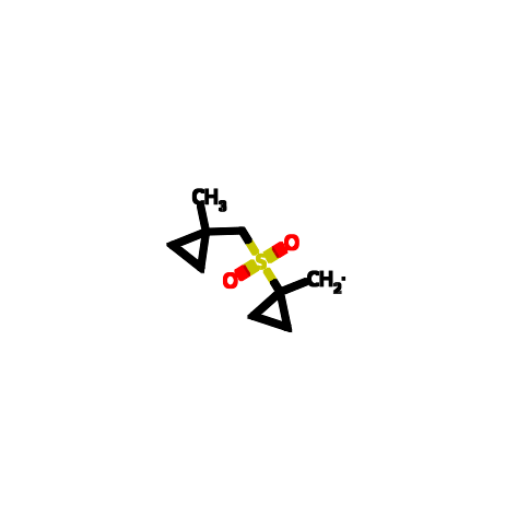 [CH2]C1(S(=O)(=O)CC2(C)CC2)CC1